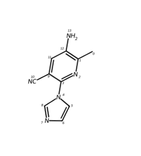 Cc1nc(-n2ccnc2)c(C#N)cc1N